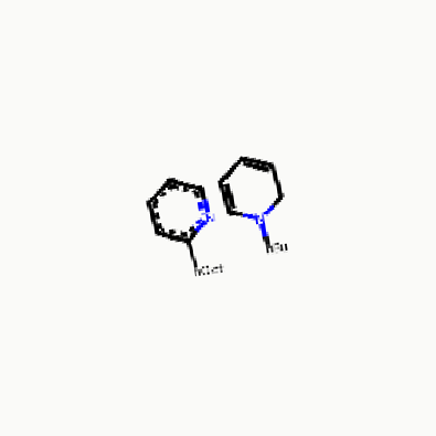 CCCCCCCCc1ccccn1.CCCCN1C=CC=CC1